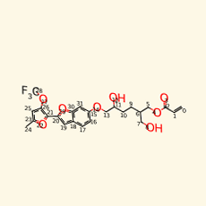 C=CC(=O)OCC(CO)CCC(O)COc1ccc2cc(-c3oc(C)cc3OC(F)(F)F)oc2c1